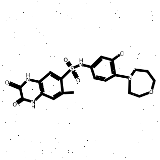 Cc1cc2[nH]c(=O)c(=O)[nH]c2cc1S(=O)(=O)Nc1ccc(N2CCCOCC2)c(Cl)c1